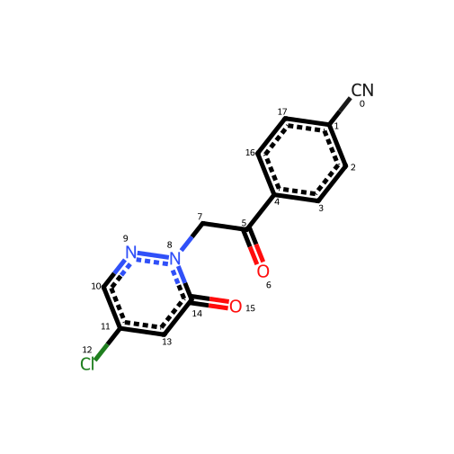 N#Cc1ccc(C(=O)Cn2ncc(Cl)cc2=O)cc1